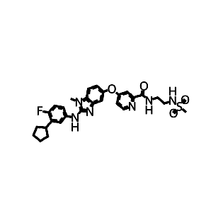 Cn1c(Nc2ccc(F)c(C3CCCC3)c2)nc2cc(Oc3ccnc(C(=O)NCCNS(C)(=O)=O)c3)ccc21